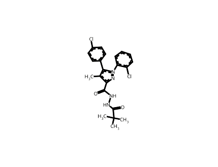 Cc1c(C(=O)NNC(=O)C(C)(C)C)nn(-c2ccccc2Cl)c1-c1ccc(Cl)cc1